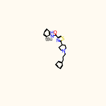 CC(C)(C)c1ccccc1NC(=O)c1csc(C2CCN(CCCc3ccccc3)CC2)n1